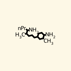 CCCC(N)C(C)CCCC1CCC(N)C(C)C1